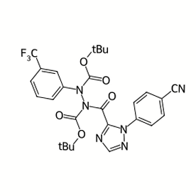 CC(C)(C)OC(=O)N(C(=O)c1ncnn1-c1ccc(C#N)cc1)N(C(=O)OC(C)(C)C)c1cccc(C(F)(F)F)c1